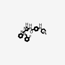 CN1CCC(Nc2ccc(C(=O)Nc3cc(-c4nc5ccccc5n4Cc4ccccc4F)n[nH]3)cc2)CC1